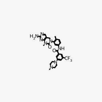 Cc1ccc(NC(=O)c2cc(N3CCN(C)CC3)cc(C(F)(F)F)c2)cc1N1Cc2cnc(N)nc2N(C)C1=O